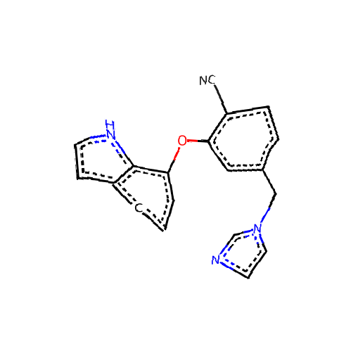 N#Cc1ccc(Cn2ccnc2)cc1Oc1cccc2cc[nH]c12